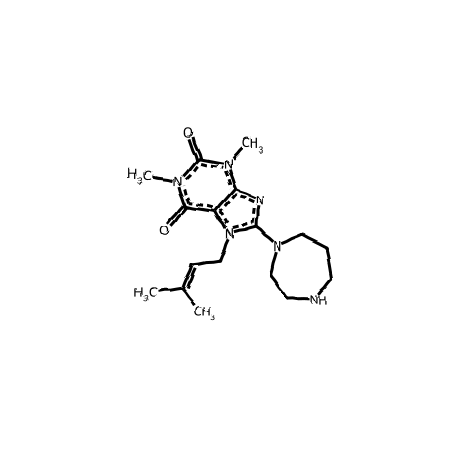 CC(C)=CCn1c(N2CCCNCC2)nc2c1c(=O)n(C)c(=O)n2C